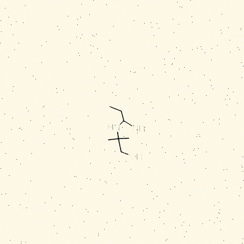 CCC(N)NC(C)(C)CO